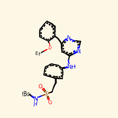 CCOc1ccccc1-c1cc(Nc2cccc(CS(=O)(=O)NC(C)(C)C)c2)ncn1